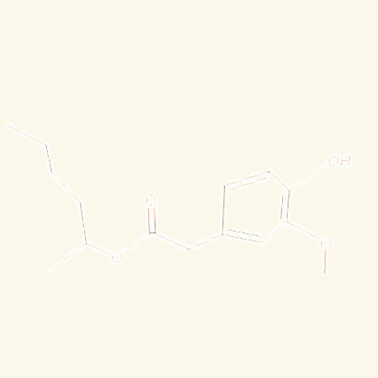 CCCCC(C)OC(=O)Cc1ccc(O)c(OC)c1